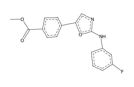 COC(=O)c1ccc(-c2cnc(Nc3cccc(F)c3)o2)cc1